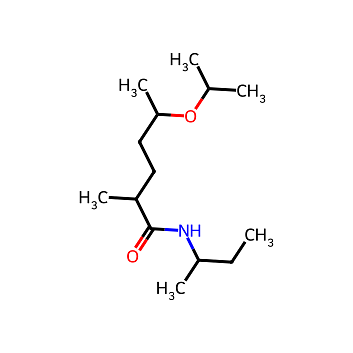 CCC(C)NC(=O)C(C)CCC(C)OC(C)C